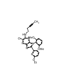 CC#CCSNc1nc2c(nc1Cl)nc(-c1cccc(OCC)n1)n2-c1c(OC)cccc1OC